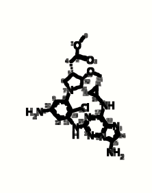 COC(=O)C[C@H]1CN(c2cc(N)cc(Nc3nc(NC4CC4)c4ncc(N)n4n3)c2Cl)C[C@@H]1OC